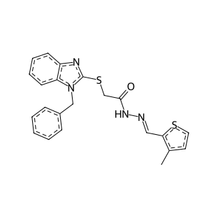 Cc1ccsc1/C=N/NC(=O)CSc1nc2ccccc2n1Cc1ccccc1